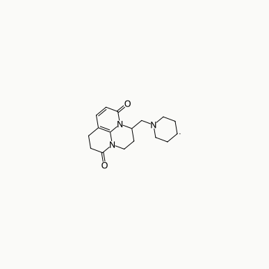 O=C1CCc2ccc(=O)n3c2N1CCC3CN1CC[CH]CC1